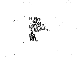 CC(Oc1cc(-n2cnc3cc(-c4cnc(N)nc4)ccc32)sc1C(N)=O)c1ccccc1C(F)(F)F